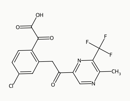 Cc1ncc(C(=O)Cc2cc(Cl)ccc2C(=O)C(=O)O)nc1C(F)(F)F